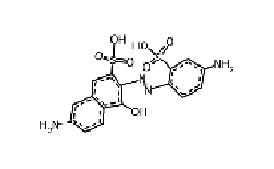 Nc1ccc(N=Nc2c(S(=O)(=O)O)cc3cc(N)ccc3c2O)c(S(=O)(=O)O)c1